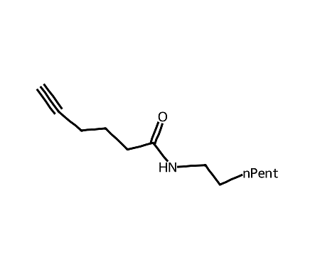 C#CCCCC(=O)NCCCCCCC